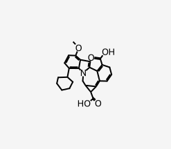 COc1ccc(C2CCCCC2)c2c1cc1n2CC2C(=C3C=CCC(C(=O)O)=C31)C2C(=O)O